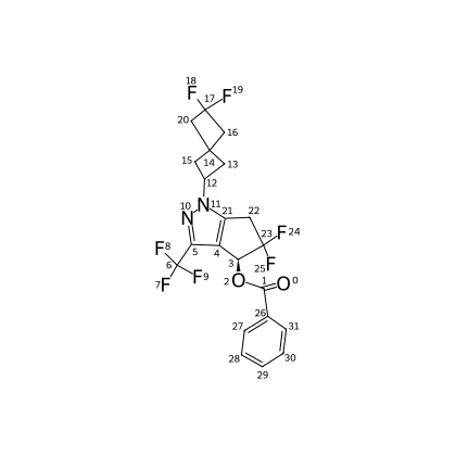 O=C(O[C@H]1c2c(C(F)(F)F)nn(C3CC4(C3)CC(F)(F)C4)c2CC1(F)F)c1ccccc1